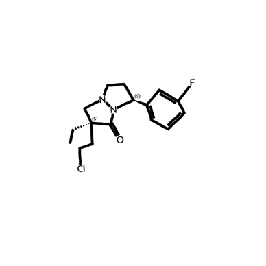 CC[C@]1(CCCl)CN2CC[C@@H](c3cccc(F)c3)N2C1=O